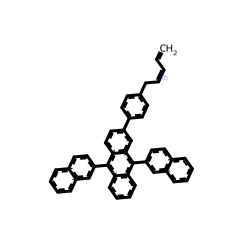 C=C/C=C\Cc1ccc(-c2ccc3c(-c4ccc5ccccc5c4)c4ccccc4c(-c4ccc5ccccc5c4)c3c2)cc1